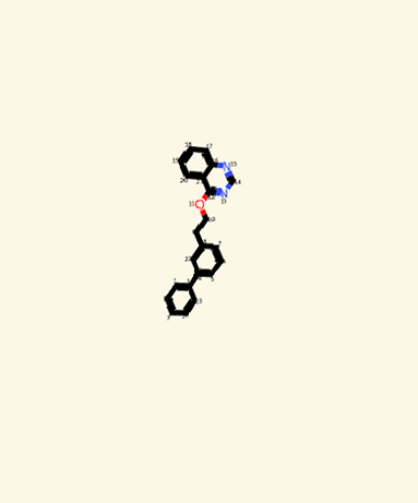 c1ccc(-c2cccc(CCOc3ncnc4ccccc34)c2)cc1